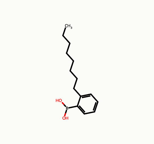 CCCCCCCCc1ccccc1B(O)O